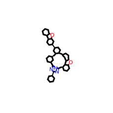 c1ccc(-c2nc3nc(n2)c2cccc4oc5ccc(cc5c42)c2ccc(-c4ccc5c(c4)oc4ccccc45)cc2c2cccc3c2)cc1